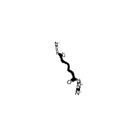 [N-]=[N+]=NC(=O)CCCCC(=O)N=[N+]=[N-]